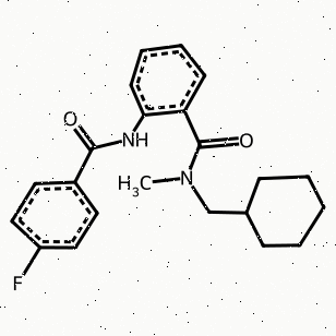 CN(CC1CCCCC1)C(=O)c1ccccc1NC(=O)c1ccc(F)cc1